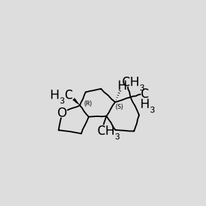 CC1(C)CCCC2(C)C3CCO[C@]3(C)CC[C@@H]12